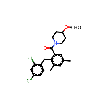 Cc1cc(C)c(Cc2ccc(Cl)cc2Cl)c(C(=O)N2CCC(OC=O)CC2)c1